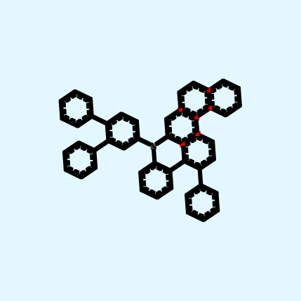 c1ccc(-c2ccc(N(c3ccc(-c4ccccc4)c(-c4ccccc4)c3)c3ccccc3-c3cc(-c4ccccc4)ccc3-c3ccccc3)cc2)cc1